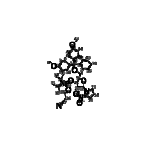 COc1ccc(C(OC[C@H]2O[C@@H](n3cccc3[N+](=O)[O-])C[C@@H]2OP(OCCC#N)N(C(C)C)C(C)C)(c2ccccc2)c2ccc(OC)cc2)cc1